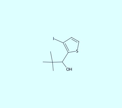 CC(C)(C)C(O)c1sccc1I